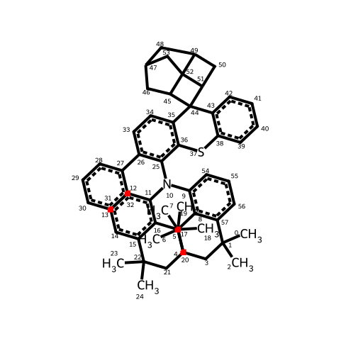 CC1(C)CCC(C)(C)c2c(N(c3cccc4c3C(C)(C)CCC4(C)C)c3c(-c4ccccc4)ccc4c3Sc3ccccc3C43C4CC5CC6CC3C64C5)cccc21